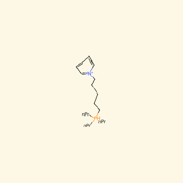 CCC[PH](CCC)(CCC)CCCCC[n+]1ccccc1